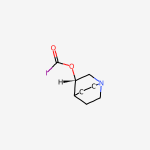 O=C(I)O[C@@H]1CN2CCC1CC2